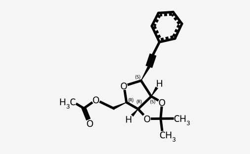 CC(=O)OC[C@H]1O[C@@H](C#Cc2ccccc2)[C@@H]2OC(C)(C)O[C@@H]21